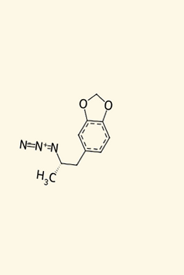 C[C@@H](Cc1ccc2c(c1)OCO2)N=[N+]=[N-]